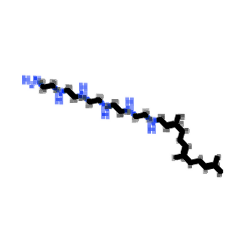 CC(C)=CCCC(C)=CCCC(C)=CCNCCNCCNCCNCCNCCN